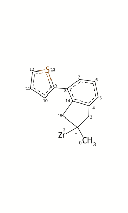 C[C]1([Zr])Cc2cccc(-c3cccs3)c2C1